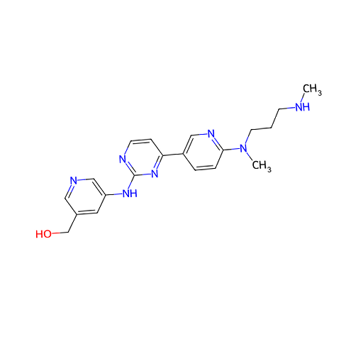 CNCCCN(C)c1ccc(-c2ccnc(Nc3cncc(CO)c3)n2)cn1